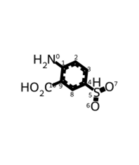 Nc1ccc([SH](=O)=O)cc1C(=O)O